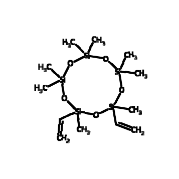 C=C[Si]1(C)O[Si](C)(C)O[Si](C)(C)O[Si](C)(C)O[Si](C)(C=C)O1